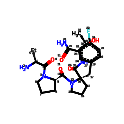 CC[C@H](N)C(=O)N1CCC[C@H]1C(=O)N1CCC[C@]1(Cc1ccc(F)cc1)C(=O)N[C@H](C(N)=O)[C@@H](C)O